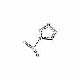 O=P(=O)n1ccnc1